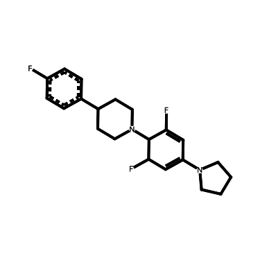 FC1=CC(N2CCCC2)=CC(F)C1N1CCC(c2ccc(F)cc2)CC1